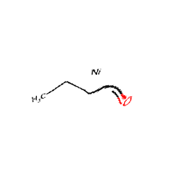 CCCC=O.[Ni]